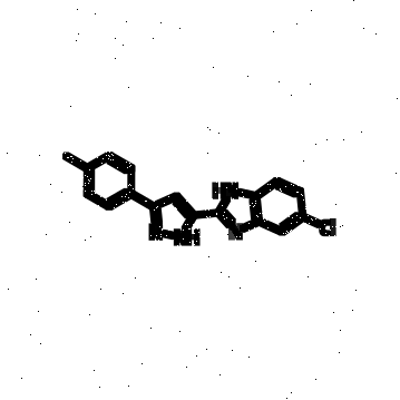 Cc1ccc(-c2cc(-c3nc4cc(Cl)ccc4[nH]3)[nH]n2)cc1